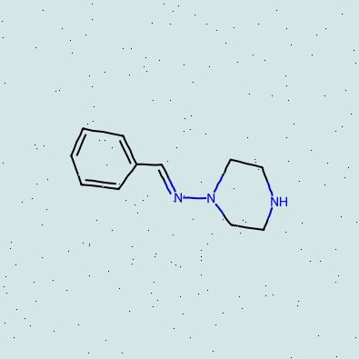 C(=N\N1CCNCC1)/c1ccccc1